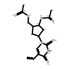 C=Cc1cn(C2CC(COC(C)=O)C(OC(C)=O)C2)c(=O)[nH]c1=O